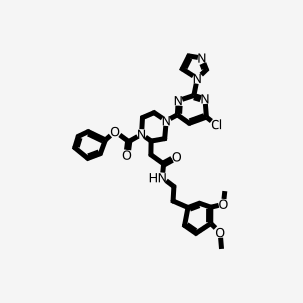 COc1ccc(CCNC(=O)CC2CN(c3cc(Cl)nc(-n4ccnc4)n3)CCN2C(=O)Oc2ccccc2)cc1OC